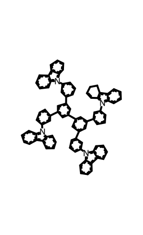 C1=Cc2c(c3ccccc3n2-c2cccc(-c3cc(-c4cc(-c5cccc(-n6c7ccccc7c7ccccc76)c5)cc(-c5cccc(-n6c7ccccc7c7ccccc76)c5)c4)cc(-c4cccc(-n5c6ccccc6c6ccccc65)c4)c3)c2)CC1